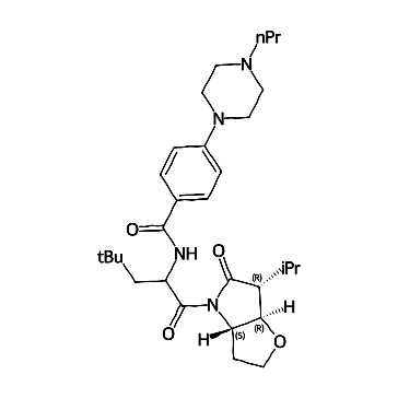 CCCN1CCN(c2ccc(C(=O)NC(CC(C)(C)C)C(=O)N3C(=O)[C@H](C(C)C)[C@H]4OCC[C@@H]43)cc2)CC1